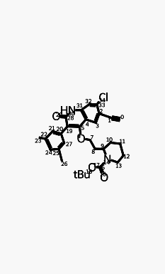 C#Cc1cc2c(OCCC3CCCCN3C(=O)OC(C)(C)C)c(-c3cc(C)cc(C)c3)c(=O)[nH]c2cc1Cl